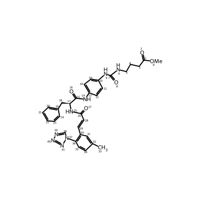 COC(=O)CCCNC(=O)Nc1ccc(NC(=O)[C@H](Cc2ccccc2)NC(=O)/C=C/c2cc(C)ccc2-n2cnnn2)cc1